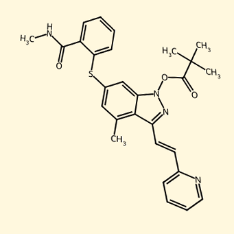 CNC(=O)c1ccccc1Sc1cc(C)c2c(/C=C/c3ccccn3)nn(OC(=O)C(C)(C)C)c2c1